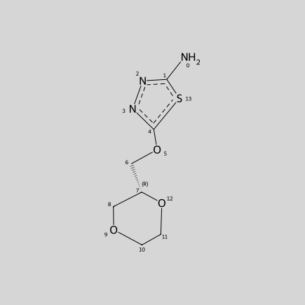 Nc1nnc(OC[C@H]2COCCO2)s1